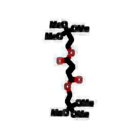 COC(CCOC(=O)/C=C/C(=O)OCCC(OC)(OC)OC)(OC)OC